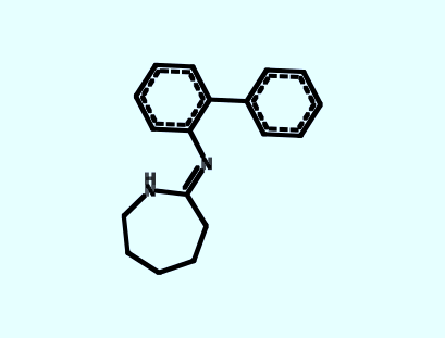 c1ccc(-c2ccccc2N=C2CCCCCN2)cc1